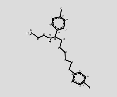 Cc1ccc(CCCCCCC(NCCN)c2ccc(C)cc2)cc1